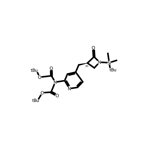 CC(C)(C)OC(=O)N(C(=O)OC(C)(C)C)c1cc(C[C@@H]2CN([Si](C)(C)C(C)(C)C)C2=O)ccn1